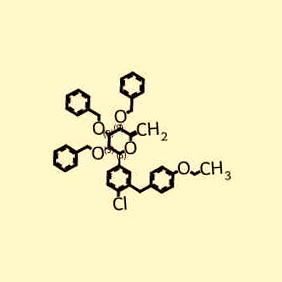 C=C1O[C@@H](c2ccc(Cl)c(Cc3ccc(OCC)cc3)c2)[C@H](OCc2ccccc2)[C@@H](OCc2ccccc2)[C@@H]1OCc1ccccc1